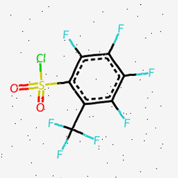 O=S(=O)(Cl)c1c(F)c(F)c(F)c(F)c1C(F)(F)F